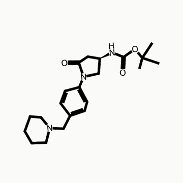 CC(C)(C)OC(=O)N[C@@H]1CC(=O)N(c2ccc(CN3CCCCC3)cc2)C1